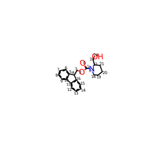 O=C(OCC1c2ccccc2-c2ccccc21)N1CCCCC1CO